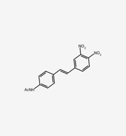 CC(=O)Nc1ccc(C=Cc2ccc([N+](=O)[O-])c([N+](=O)[O-])c2)cc1